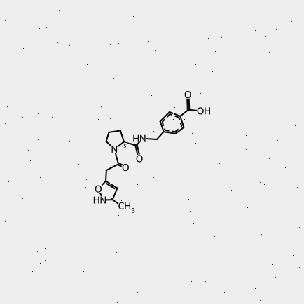 CC1C=C(CC(=O)N2CCC[C@H]2C(=O)NCc2ccc(C(=O)O)cc2)ON1